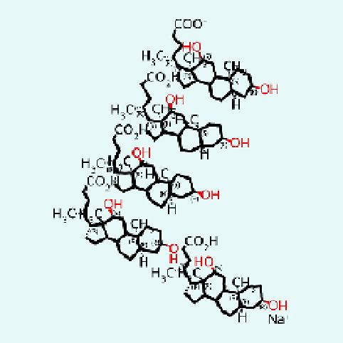 C[C@H](CCC(=O)O)[C@H]1CCC2C3CC[C@@H]4C[C@H](O)CC[C@]4(C)C3C[C@H](O)[C@@]21C.C[C@H](CCC(=O)O)[C@H]1CCC2C3CC[C@@H]4C[C@H](O)CC[C@]4(C)C3C[C@H](O)[C@@]21C.C[C@H](CCC(=O)O)[C@H]1CCC2C3CC[C@@H]4C[C@H](O)CC[C@]4(C)C3C[C@H](O)[C@@]21C.C[C@H](CCC(=O)O)[C@H]1CCC2C3CC[C@@H]4C[C@H](O)CC[C@]4(C)C3C[C@H](O)[C@@]21C.C[C@H](CCC(=O)[O-])[C@H]1CCC2C3CC[C@@H]4C[C@H](O)CC[C@]4(C)C3C[C@H](O)[C@@]21C.[Na+]